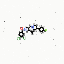 O=C(c1ccc(Cl)c(Cl)c1)N1CC(CN2CCC(c3ccc(F)cc3)CC2)C(C2CC2)C1